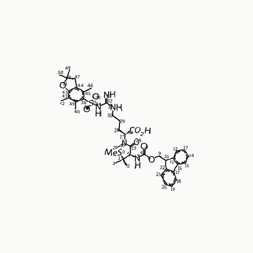 CSC(C)(C)[C@H](NC(=O)OCC1c2ccccc2-c2ccccc21)C(=O)N(C)[C@@H](CCCNC(=N)NS(=O)(=O)c1c(C)c(C)c2c(c1C)CC(C)(C)O2)C(=O)O